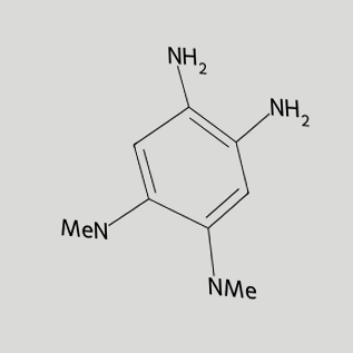 CNc1cc(N)c(N)cc1NC